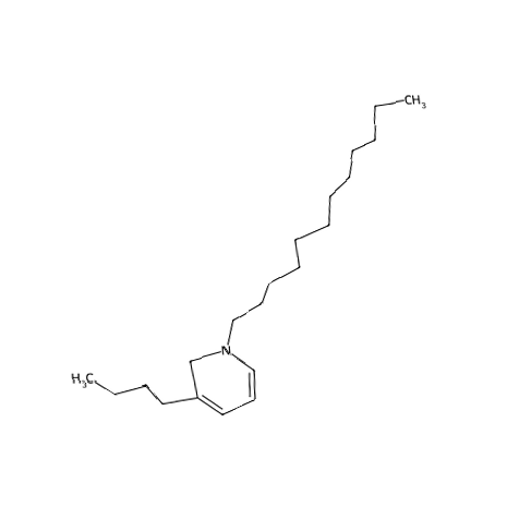 CCCCCCCCCCCCN1C=CC=C(CCCC)C1